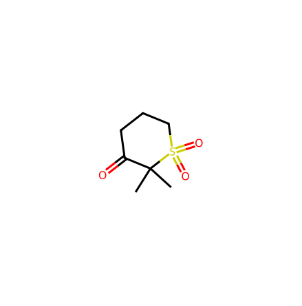 CC1(C)C(=O)CCCS1(=O)=O